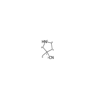 CC1(C#N)CCNC1